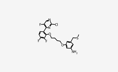 CSCc1cc(N)cc(OCCCCOc2c(-c3nc(Cl)ncc3F)ccc(F)c2F)c1